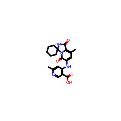 Cc1cc(Nc2cc(C)c3n(c2=O)C2(CCCCC2)NC3=O)c(C(=O)O)cn1